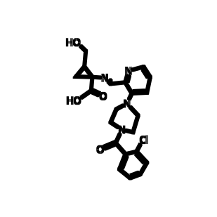 O=C(c1ccccc1Cl)N1CCN(c2cccnc2C=NC2(C(=O)O)CC2CO)CC1